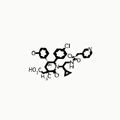 C[C@]1(CC(=O)O)C[C@H](c2cccc(Cl)c2)C(c2ccc(Cl)cc2)N(C(CNS(=O)(=O)Cc2cccnc2)C2CC2)C1=O